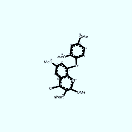 CCCCCc1c(OC)nc2c(Oc3ccc(OC)cc3OC)cc(OC)cc2c1Cl